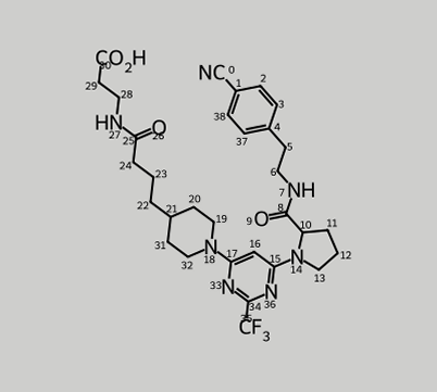 N#Cc1ccc(CCNC(=O)C2CCCN2c2cc(N3CCC(CCCC(=O)NCCC(=O)O)CC3)nc(C(F)(F)F)n2)cc1